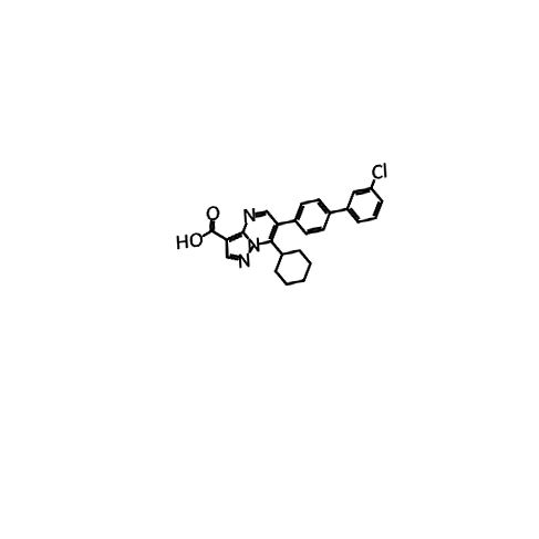 O=C(O)c1cnn2c(C3CCCCC3)c(-c3ccc(-c4cccc(Cl)c4)cc3)cnc12